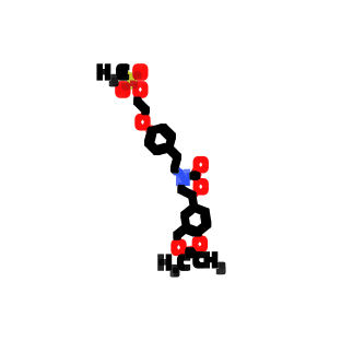 CC1(C)OCC2=C(C=CC(C3CN(CCc4ccc(OCCOS(C)(=O)=O)cc4)C(=O)O3)C2)O1